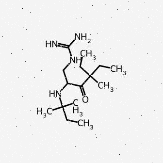 CCC(C)(C)NC(CNC(=N)N)C(=O)C(C)(CC)CC